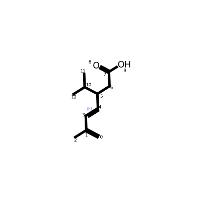 C=C(C)/C=C/C(CC(=O)O)C(C)C